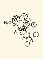 CC(=O)O[C@H]1C(=O)[C@@]2(C)C(C(OC(=O)c3ccccc3)[C@]3(O)CC(OC(=O)[C@H](O)[C@@H](NC(=O)c4ccccc4)c4ccccc4)C(C)=C1C3(C)C)[C@]1(OC(C)=O)CO[C@@H]1C[C@@H]2O